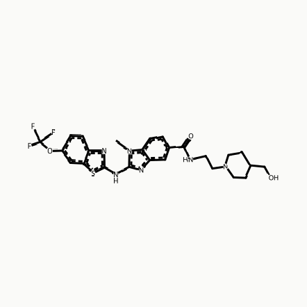 Cn1c(Nc2nc3ccc(OC(F)(F)F)cc3s2)nc2cc(C(=O)NCCN3CCC(CO)CC3)ccc21